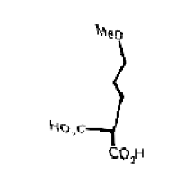 COCCCC(C(=O)O)C(=O)O